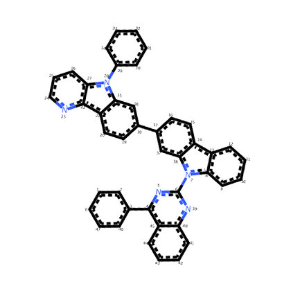 c1ccc(-c2nc(-n3c4ccccc4c4ccc(-c5ccc6c7ncccc7n(-c7ccccc7)c6c5)cc43)nc3ccccc23)cc1